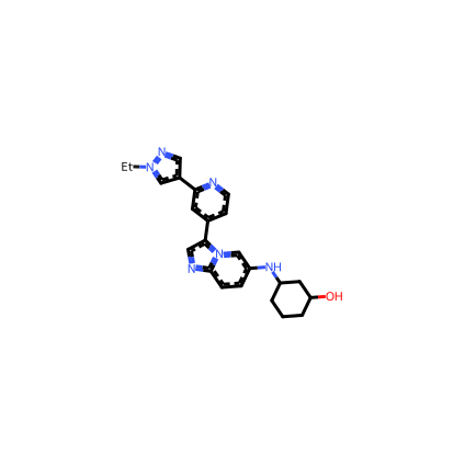 CCn1cc(-c2cc(-c3cnc4ccc(NC5CCCC(O)C5)cn34)ccn2)cn1